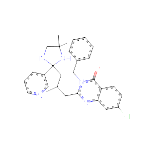 CC(Cc1nc2cc(Cl)ccc2c(=O)n1Cc1ccccc1)CC1(c2cccnc2)NCC(C)(C)N1